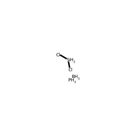 B.Cl[SiH2]Cl.P